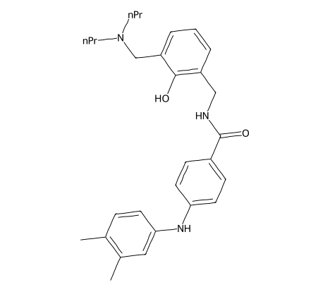 CCCN(CCC)Cc1cccc(CNC(=O)c2ccc(Nc3ccc(C)c(C)c3)cc2)c1O